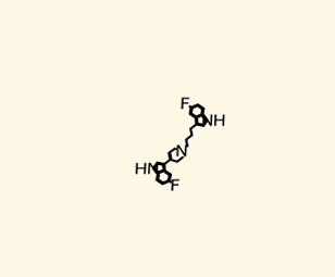 Fc1ccc2[nH]cc(CCCCN3CC=C(c4c[nH]c5ccc(F)cc45)CC3)c2c1